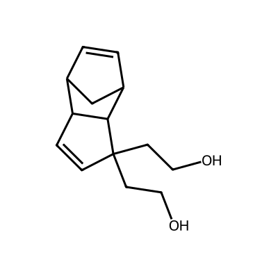 OCCC1(CCO)C=CC2C3C=CC(C3)C21